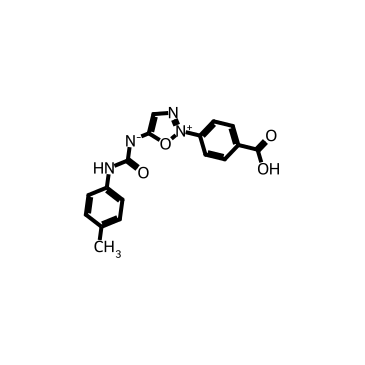 Cc1ccc(NC(=O)[N-]c2cn[n+](-c3ccc(C(=O)O)cc3)o2)cc1